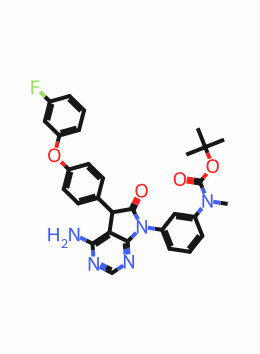 CN(C(=O)OC(C)(C)C)c1cccc(N2C(=O)C(c3ccc(Oc4cccc(F)c4)cc3)c3c(N)ncnc32)c1